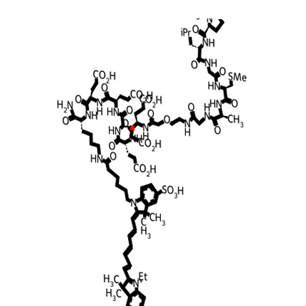 CC[N+]1=C(/C=C/C=C/C=C/C=C2/N(CCCCCC(=O)NCCCC[C@@H](NC(=O)[C@@H](CCC(=O)O)NC(=O)[C@@H](CCC(=O)O)NC(=O)[C@@H](CCC(=O)O)NC(=O)[C@@H](CCC(=O)O)NC(=O)[C@@H](CCC(=O)O)NC(=O)COCCNC(=O)CNC(=O)[C@H](C)NC(=O)[C@H](CSC)NC(=O)CNC(=O)[C@H](CC(C)C)NC(=O)[C@@H]3CCCN3C)C(N)=O)c3ccc(S(=O)(=O)O)cc3C2(C)C)C(C)(C)c2cc(S(=O)(=O)O)ccc21